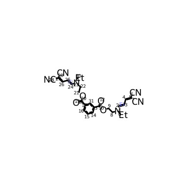 CCN(/C=C/C=C(C#N)C#N)CCOC(=O)c1cccc(C(=O)OCCN(/C=C/C=C(C#N)C#N)CC)c1